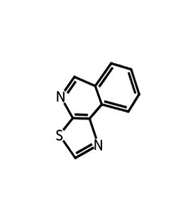 c1ccc2c(c1)cnc1scnc12